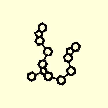 c1ccc(-n2c3ccc(-c4cccc(-c5cccc(-c6ccc7oc8cccnc8c7c6)c5)c4)cc3c3cc(-c4cccc(-c5ccc6oc7cccnc7c6c5)c4)ccc32)cc1